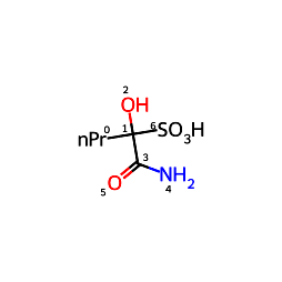 CCCC(O)(C(N)=O)S(=O)(=O)O